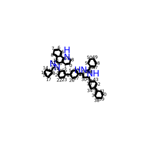 C1=Cc2c(c3ccccc3c3nc(-c4ccccc4)n(-c4cccc(-c5ccc(C6=CC(c7ccc(-c8ccccc8)cc7)NC(c7ccccc7)N6)cc5)c4)c23)NC1